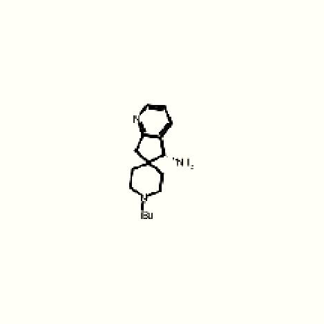 CCC(C)N1CCC2(CC1)Cc1ncccc1[C@@H]2N